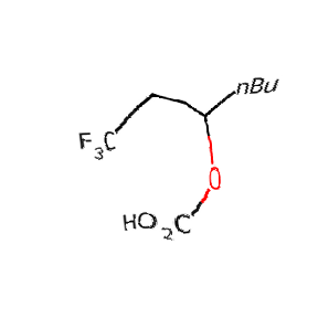 CCCCC(CC(F)(F)F)OC(=O)O